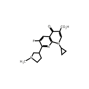 CN1CCC(c2nc3c(cc2F)c(=O)c(C(=O)O)cn3C2CC2)C1